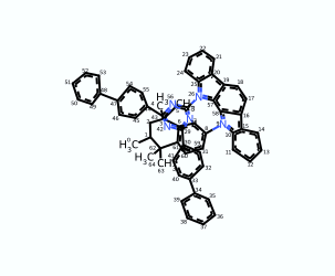 CC1CC(C)(C)c2cc(-n3c4ccccc4c4ccc5c6ccccc6n(-c6nc(-c7ccc(-c8ccccc8)cc7)nc(-c7ccc(-c8ccccc8)cc7)n6)c5c43)ccc2C1(C)C